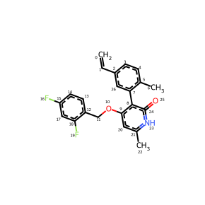 C=Cc1ccc(C)c(-c2c(OCc3ccc(F)cc3F)cc(C)[nH]c2=O)c1